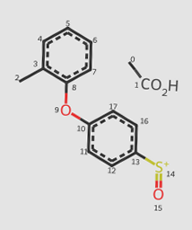 CC(=O)O.Cc1ccccc1Oc1ccc([S+]=O)cc1